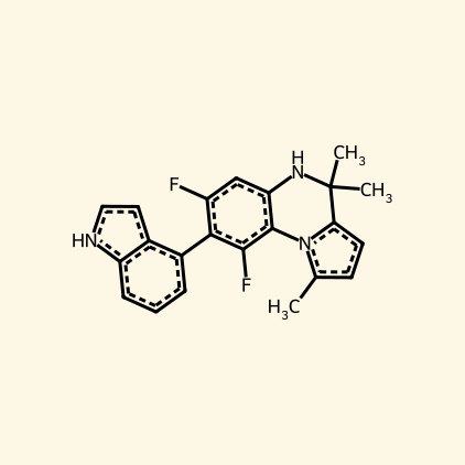 Cc1ccc2n1-c1c(cc(F)c(-c3cccc4[nH]ccc34)c1F)NC2(C)C